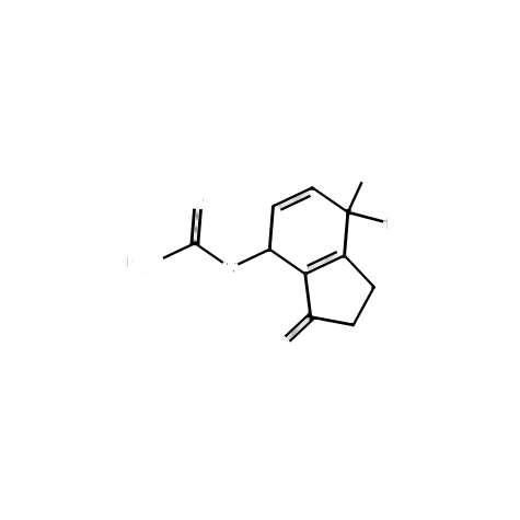 CCC1(C)C=CC(NC(=O)C(=O)O)C2=C1CCC2=O